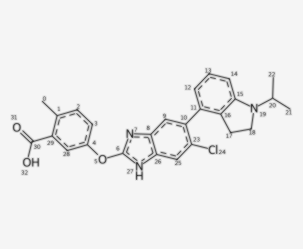 Cc1ccc(Oc2nc3cc(-c4cccc5c4CCN5C(C)C)c(Cl)cc3[nH]2)cc1C(=O)O